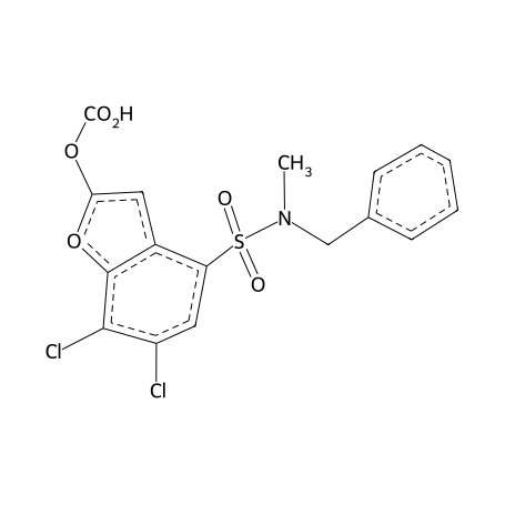 CN(Cc1ccccc1)S(=O)(=O)c1cc(Cl)c(Cl)c2oc(OC(=O)O)cc12